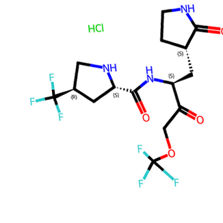 Cl.O=C1NCC[C@H]1C[C@H](NC(=O)[C@@H]1C[C@@H](C(F)(F)F)CN1)C(=O)COC(F)(F)F